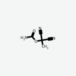 CC(C#N)(C#N)OC(N)=O